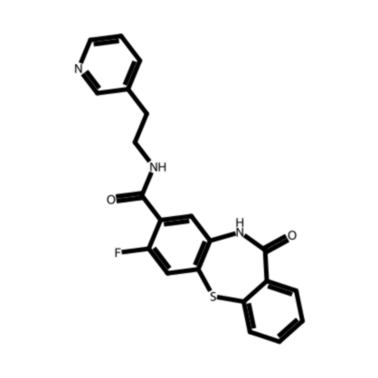 O=C(NCCc1cccnc1)c1cc2c(cc1F)Sc1ccccc1C(=O)N2